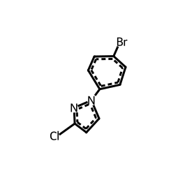 Clc1ccn(-c2ccc(Br)cc2)n1